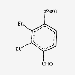 CCCCCc1ccc(C=O)c(CC)c1CC